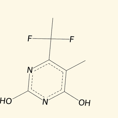 Cc1c(O)nc(O)nc1C(C)(F)F